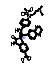 COC(=O)c1ccc2c(c1)NC(=O)/C2=C(\Nc1ccc(N(CCN(C)C)S(C)(=O)=O)cc1)c1ccc2nccnc2c1